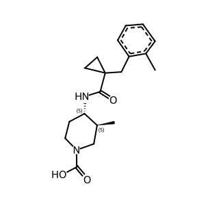 Cc1ccccc1CC1(C(=O)N[C@H]2CCN(C(=O)O)C[C@@H]2C)CC1